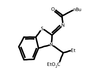 CCCCC(=O)N=c1sc2ccccc2n1C(CC)C(=O)OCC